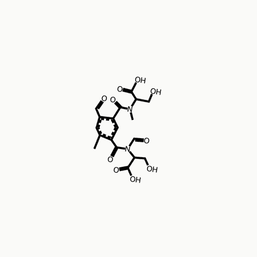 Cc1cc(C=O)c(C(=O)N(C)C(CO)C(=O)O)cc1C(=O)N(C=O)C(CO)C(=O)O